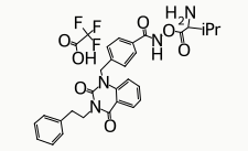 CC(C)C(N)C(=O)ONC(=O)c1ccc(Cn2c(=O)n(CCc3ccccc3)c(=O)c3ccccc32)cc1.O=C(O)C(F)(F)F